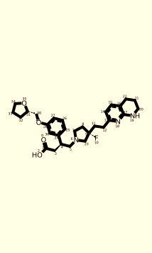 O=C(O)C[C@H](CN1CC[C@@](F)(CCc2ccc3c(n2)NCCC3)C1)c1cccc(OC[C@@H]2CCCO2)c1